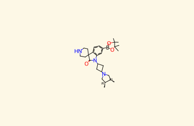 C[C@@H]1CN(C2CC(N3C(=O)C4(CCNCC4)c4ccc(B5OC(C)(C)C(C)(C)O5)cc43)C2)C[C@@H]1C